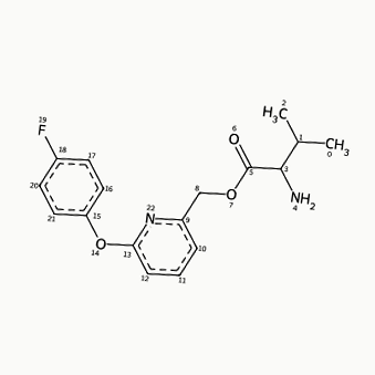 CC(C)C(N)C(=O)OCc1cccc(Oc2ccc(F)cc2)n1